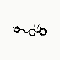 Cc1ccccc1N1CCN(CCc2ccsc2)CC1